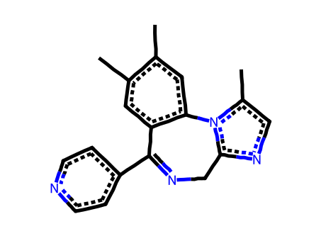 Cc1cc2c(cc1C)-n1c(C)cnc1CN=C2c1ccncc1